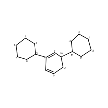 C1=CC(C2CCCCC2)=C[C](C2CCCCC2)C1